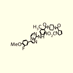 COc1ccc(-c2cnc3c(Nc4ccc(C(=O)N5CCN(C(=O)C6C=CCN6C(=O)O)CC5)c(C)c4)nccn23)cc1F